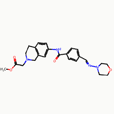 COC(=O)CN1CCc2ccc(NC(=O)c3ccc(C=NN4CCOCC4)cc3)cc2C1